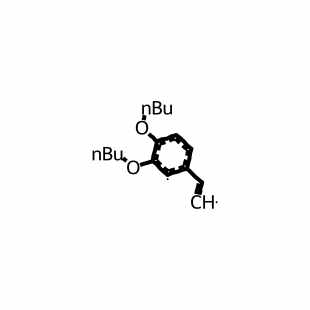 [CH]=Cc1[c]c(OCCCC)c(OCCCC)cc1